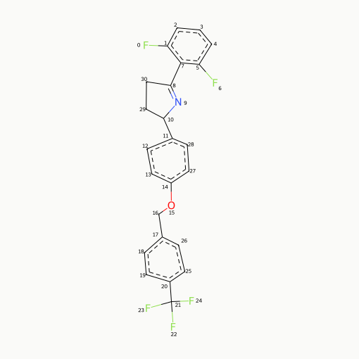 Fc1cccc(F)c1C1=NC(c2ccc(OCc3ccc(C(F)(F)F)cc3)cc2)CC1